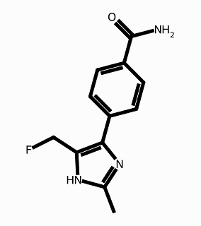 Cc1nc(-c2ccc(C(N)=O)cc2)c(CF)[nH]1